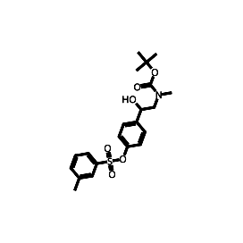 Cc1cccc(S(=O)(=O)Oc2ccc(C(O)CN(C)C(=O)OC(C)(C)C)cc2)c1